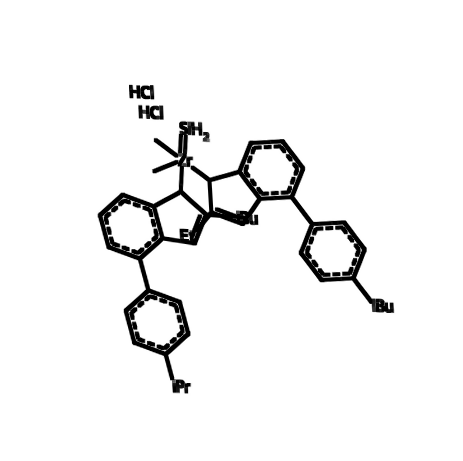 CCC1=Cc2c(-c3ccc(C(C)CC)cc3)cccc2[CH]1[Zr]([CH3])([CH3])(=[SiH2])[CH]1C(C(C)CC)=Cc2c(-c3ccc(C(C)C)cc3)cccc21.Cl.Cl